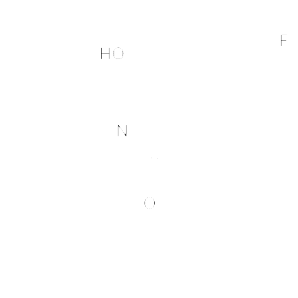 O=C1C=C(CCF)C(O)N1Cc1ccccc1